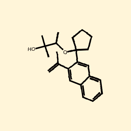 C=C(C)c1cc2ccccc2cc1C1(OC(C)C(C)(C)O)CCCC1